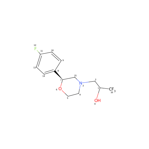 OC(CN1CCO[C@@H](c2ccc(F)cc2)C1)C(F)(F)F